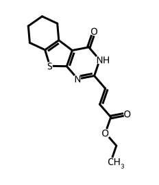 CCOC(=O)C=Cc1nc2sc3c(c2c(=O)[nH]1)CCCC3